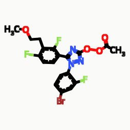 COCCc1c(F)ccc(-c2nc(OOC(C)=O)nn2-c2ccc(Br)cc2F)c1F